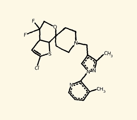 Cc1cccnc1-n1cc(CN2CCC3(CC2)OCC(F)(F)C2C=C(Cl)SC23)c(C)n1